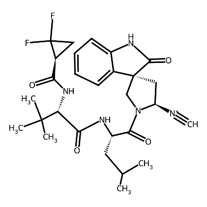 C#[N+][C@@H]1C[C@@]2(CN1C(=O)[C@H](CC(C)C)NC(=O)[C@@H](NC(=O)[C@@H]1CC1(F)F)C(C)(C)C)C(=O)Nc1ccccc12